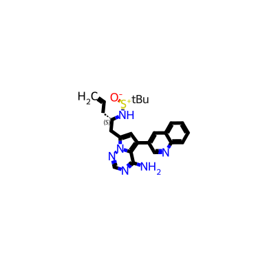 C=CC[C@@H](Cc1cc(-c2cnc3ccccc3c2)c2c(N)ncnn12)N[S+]([O-])C(C)(C)C